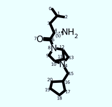 CC(C)C[C@H](N)C(=O)N1CC2CC1CN2CC1CCCC1